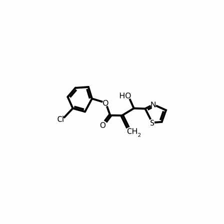 C=C(C(=O)Oc1cccc(Cl)c1)C(O)c1nccs1